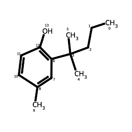 CCCC(C)(C)c1cc(C)ccc1O